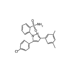 Cc1cc(C)cc(-c2cc(-c3ccc(Cl)cc3)n(-c3ccccc3S(N)(=O)=O)n2)c1